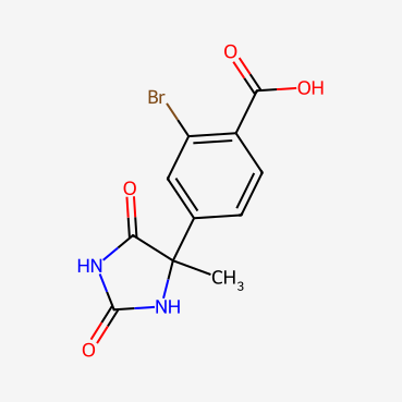 CC1(c2ccc(C(=O)O)c(Br)c2)NC(=O)NC1=O